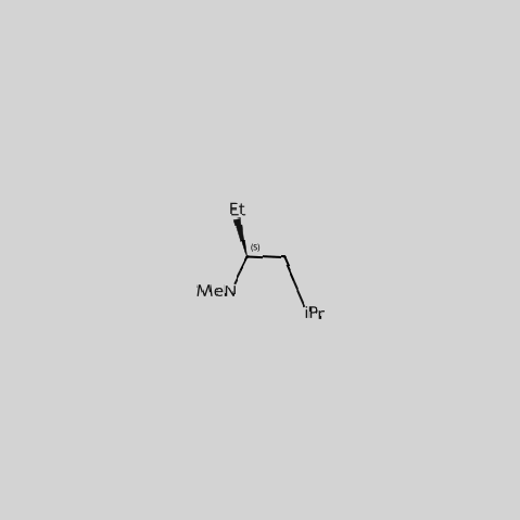 CC[C@@H](CC(C)C)NC